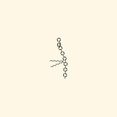 CCCCCCCCC1(CCCCCCCC)c2cc(-c3ccc(-c4ccc(C)cc4)cc3)ccc2-c2ccc(-c3ccc(-c4ccc(OCc5ccccc5)cc4)cc3)cc21